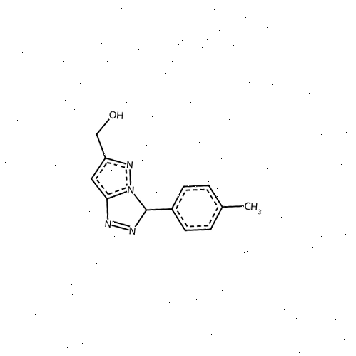 Cc1ccc(C2N=Nc3cc(CO)nn32)cc1